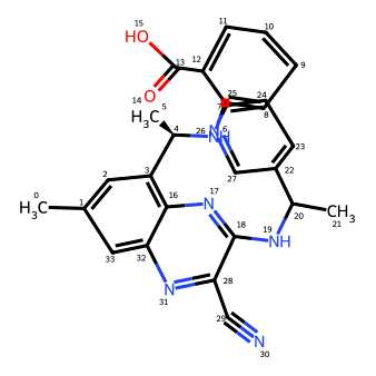 Cc1cc([C@@H](C)Nc2ccccc2C(=O)O)c2nc(NC(C)c3cccnc3)c(C#N)nc2c1